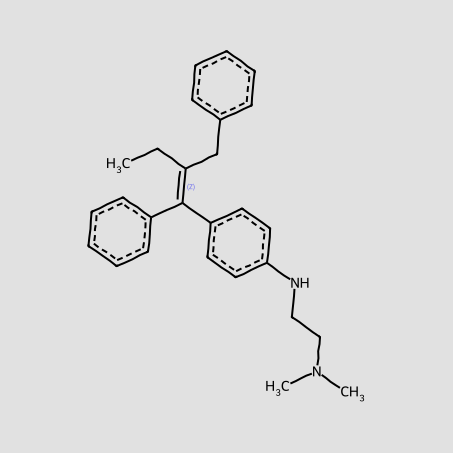 CC/C(Cc1ccccc1)=C(\c1ccccc1)c1ccc(NCCN(C)C)cc1